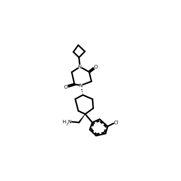 NC[C@]1(c2cccc(Cl)c2)CC[C@@H](N2CC(=O)N(C3CCC3)CC2=O)CC1